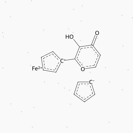 O=c1ccoc(-[c-]2cccc2)c1O.[Fe+2].c1cc[cH-]c1